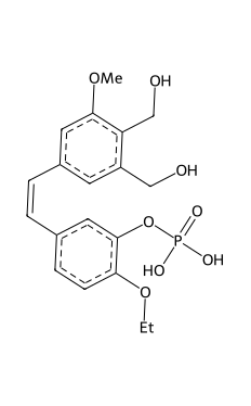 CCOc1ccc(/C=C\c2cc(CO)c(CO)c(OC)c2)cc1OP(=O)(O)O